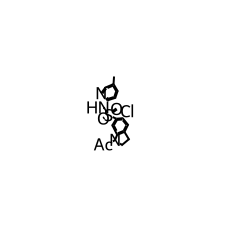 CC(=O)N1CCc2cc(Cl)c(S(=O)(=O)Nc3ccc(C)cn3)cc21